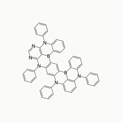 c1ccc(N2c3ccccc3B3c4cc5c(cc4N(c4ccccc4)c4cccc2c43)N(c2ccccc2)c2ncnc3c2B5c2ccccc2N3c2ccccc2)cc1